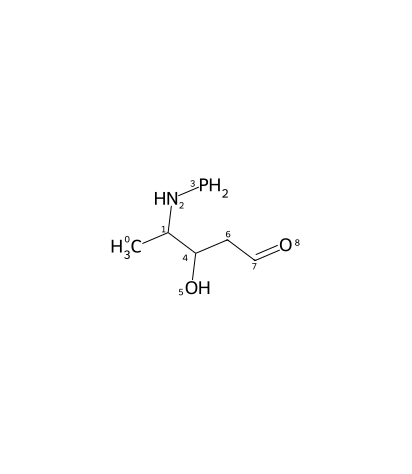 CC(NP)C(O)CC=O